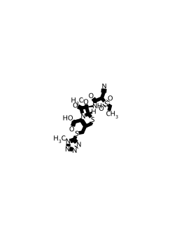 CCS(=O)(=O)C(C#N)C(=O)N[C@]1(OC)C(=O)N2C(C(=O)O)=C(CSc3nnnn3C)CS[C@H]21